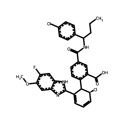 CCCC(NC(=O)c1ccc(C2C(c3nc4cc(OC)c(F)cc4[nH]3)=CC=C[C@@H]2Cl)c(C(=O)O)c1)c1ccc(Cl)cc1